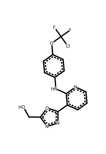 OCc1nnc(-c2cccnc2Nc2ccc(OC(F)(F)Cl)cc2)o1